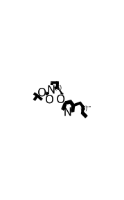 C=C[C@@H](C)Cc1cncc(OC[C@@H]2CCN2C(=O)OC(C)(C)C)c1